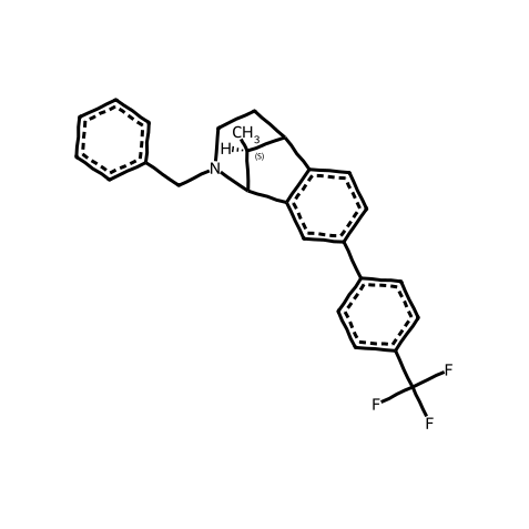 C[C@H]1C2CCN(Cc3ccccc3)C1c1cc(-c3ccc(C(F)(F)F)cc3)ccc12